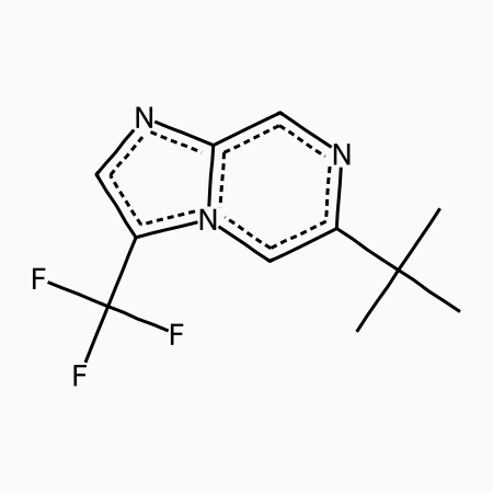 CC(C)(C)c1cn2c(C(F)(F)F)cnc2cn1